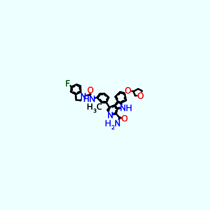 Cc1c(NC(=O)N2CCc3cc(F)ccc32)cccc1-c1cnc(C(N)=O)c2[nH]c3cc(OC4CCOC4)ccc3c12